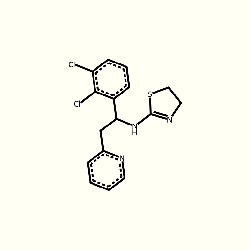 Clc1cccc(C(Cc2ccccn2)NC2=NCCS2)c1Cl